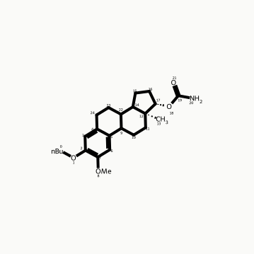 CCCCOc1cc2c(cc1OC)C1CC[C@@]3(C)C(CC[C@@H]3OC(N)=O)C1CC2